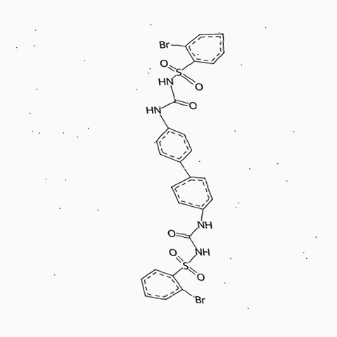 O=C(Nc1ccc(-c2ccc(NC(=O)NS(=O)(=O)c3ccccc3Br)cc2)cc1)NS(=O)(=O)c1ccccc1Br